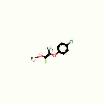 F/C(OC(F)(F)F)=C(\Oc1ccc(Cl)cc1)C(F)(F)F